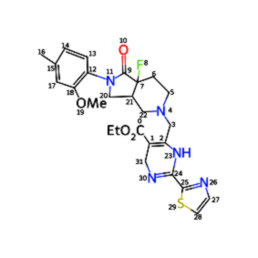 CCOC(=O)C1=C(CN2CCC3(F)C(=O)N(c4ccc(C)cc4OC)CC3C2)NC(c2nccs2)=NC1